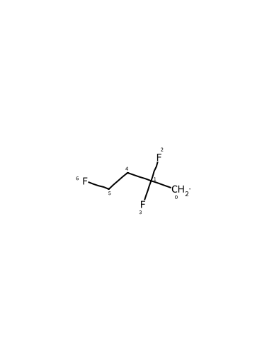 [CH2]C(F)(F)CCF